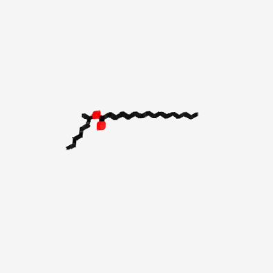 CCCCCCCCCCCCCCCC(=O)OC(C)CCCCCC